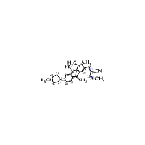 C=C1C2=C(C(C)C(C)C(/C=C(C#N)\C=C/C)=C2)N(C(C)C)c2cc(N3CCN(C)CC3)ccc21